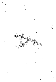 C=CC(=O)NCOB(OCNC(=O)C=C)OCNC(=O)C=C